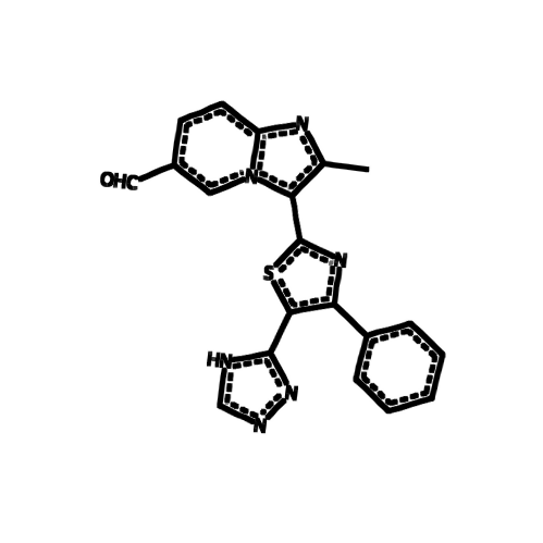 Cc1nc2ccc(C=O)cn2c1-c1nc(-c2ccccc2)c(-c2nnc[nH]2)s1